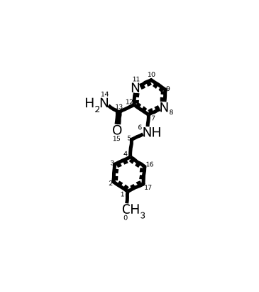 Cc1ccc(CNc2nccnc2C(N)=O)cc1